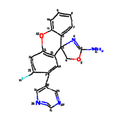 NC1=NC2(CO1)c1ccccc1Oc1cc(F)c(-c3cncnc3)cc12